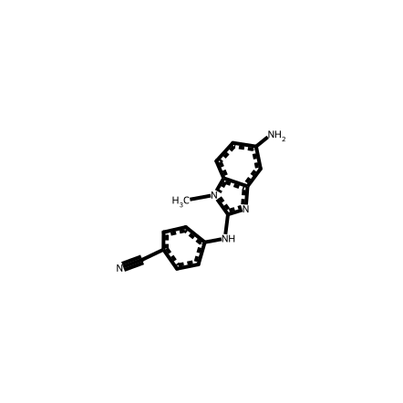 Cn1c(Nc2ccc(C#N)cc2)nc2cc(N)ccc21